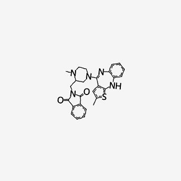 Cc1cc2c(s1)Nc1ccccc1N=C2N1CCN(C)C(CN2C(=O)c3ccccc3C2=O)C1